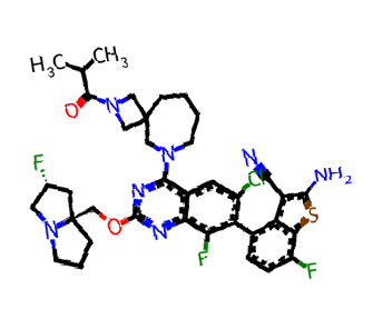 CC(C)C(=O)N1CC2(CCCCN(c3nc(OC[C@@]45CCCN4C[C@H](F)C5)nc4c(F)c(-c5ccc(F)c6sc(N)c(C#N)c56)c(Cl)cc34)C2)C1